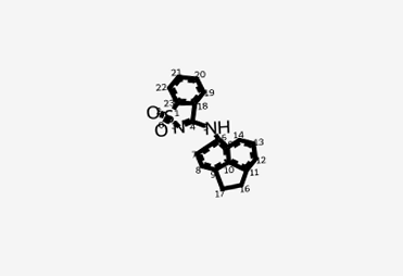 O=S1(=O)N=C(Nc2ccc3c4c(cccc24)CC3)c2ccccc21